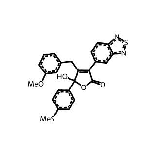 COc1cccc(CC2=C(c3ccc4nsnc4c3)C(=O)OC2(O)c2ccc(SC)cc2)c1